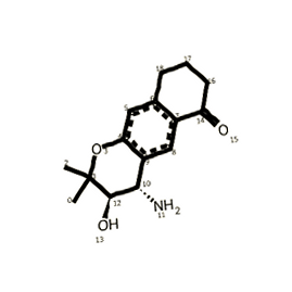 CC1(C)Oc2cc3c(cc2[C@H](N)[C@H]1O)C(=O)CCC3